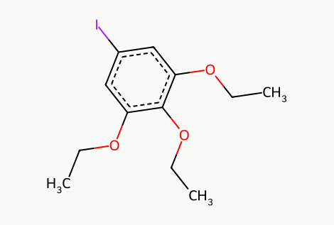 CCOc1cc(I)cc(OCC)c1OCC